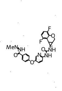 CNNC(=O)c1ccc(Oc2ccc(NC(=O)N[C@@H]3C4COc5c(F)ccc(F)c5C43)nc2)cc1